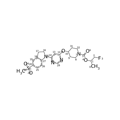 CC(CF)OC(=O)N1CCC(Oc2cc(N3CCc4cc(S(C)(=O)=O)ccc43)ncn2)CC1